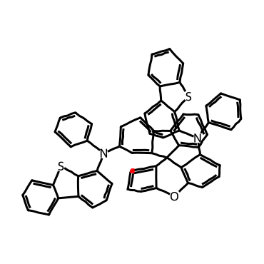 c1ccc(N(c2ccc3c(c2)C2(c4ccccc4Oc4cccc(N(c5ccccc5)c5cccc6c5sc5ccccc56)c42)c2ccccc2-3)c2cccc3c2sc2ccccc23)cc1